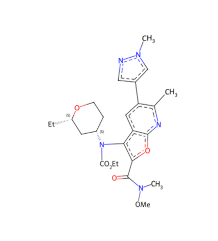 CCOC(=O)N(c1c(C(=O)N(C)OC)oc2nc(C)c(-c3cnn(C)c3)cc12)[C@H]1CCO[C@@H](CC)C1